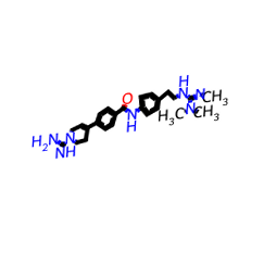 C/N=C(/NCCc1ccc(NC(=O)c2ccc(C3=CCN(C(=N)N)CC3)cc2)cc1)N(C)C